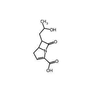 CC(O)CC1C(=O)N2C(C(=O)O)=CCC12